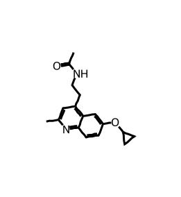 CC(=O)NCCc1cc(C)nc2ccc(OC3CC3)cc12